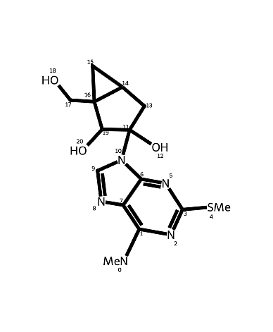 CNc1nc(SC)nc2c1ncn2C1(O)CC2CC2(CO)C1O